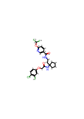 O=C(COc1ccc(Cl)c(F)c1)NC1(CCNC(=O)c2ccc(OC(F)F)nc2)CCCC1